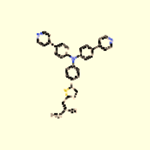 N#C/C(=C\C1=CCC(c2ccc(N(c3ccc(-c4ccncc4)cc3)c3ccc(-c4ccncc4)cc3)cc2)S1)C(=O)O